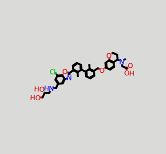 Cc1c(COc2ccc3c(c2)OCCC3N(C)CC(=O)O)cccc1-c1cccc(-c2nc3cc(CNCC(O)CO)cc(Cl)c3o2)c1C